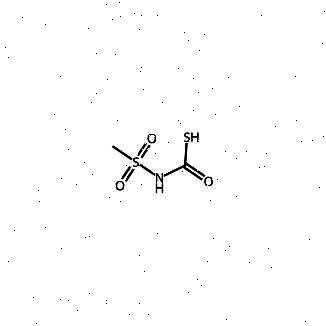 CS(=O)(=O)NC(=O)S